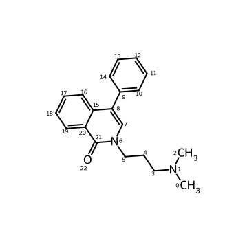 CN(C)CCCn1cc(-c2ccccc2)c2ccccc2c1=O